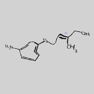 C/C(=C\COc1cccc(N)c1)CO